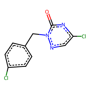 O=c1nc(Cl)cnn1Cc1ccc(Cl)cc1